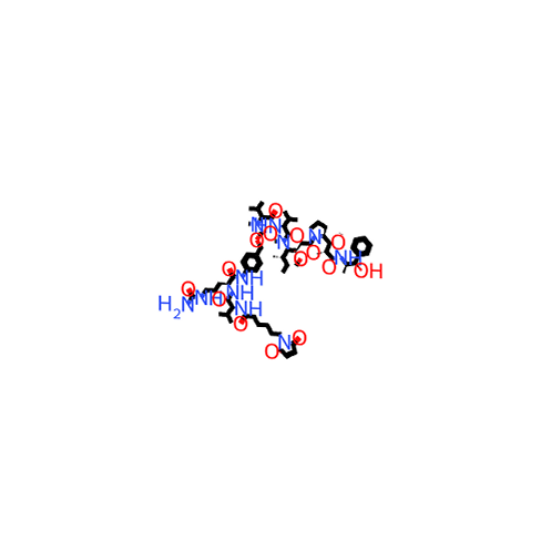 CC[C@H](C)[C@@H]([C@@H](CC(=O)N1CCC[C@H]1[C@H](OC)[C@@H](C)C(=O)N[C@H](C)[C@H](O)c1ccccc1)OC)N(C)C(=O)[C@@H](NC(=O)C(C(C)C)N(C)C(=O)OCc1ccc(NC(=O)[C@H](CCCNC(N)=O)NC(=O)[C@@H](NC(=O)CCCCCN2C(=O)C=CC2=O)C(C)C)cc1)C(C)C